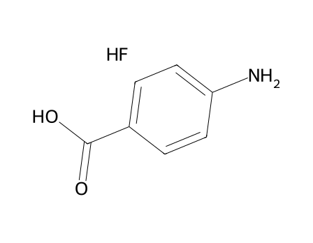 F.Nc1ccc(C(=O)O)cc1